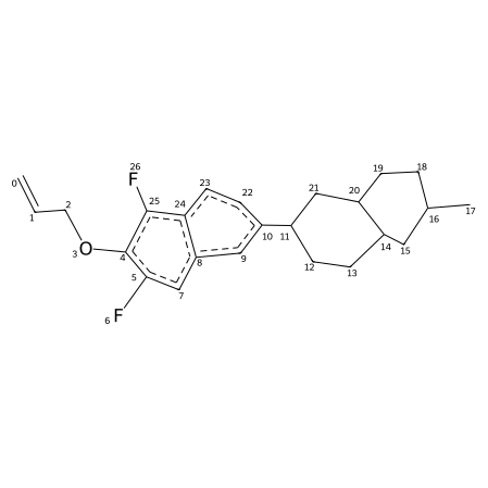 C=CCOc1c(F)cc2cc(C3CCC4CC(C)CCC4C3)ccc2c1F